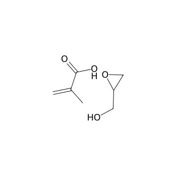 C=C(C)C(=O)O.OCC1CO1